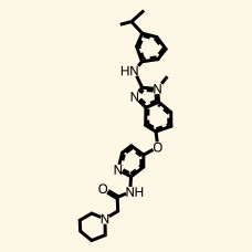 CC(C)c1cccc(Nc2nc3cc(Oc4ccnc(NC(=O)CN5CCCCC5)c4)ccc3n2C)c1